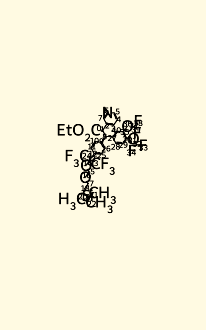 CCOC(=O)C(c1cccnc1)C(c1ccc(C(OCOCC[Si](C)(C)C)(C(F)(F)F)C(F)(F)F)cc1)c1ccc(OC(F)F)c(OC(F)F)c1